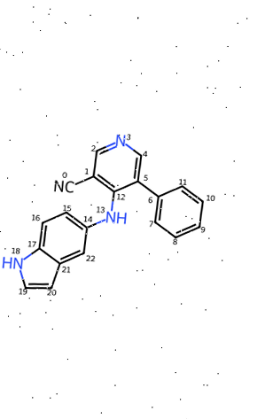 N#Cc1cncc(-c2ccccc2)c1Nc1ccc2[nH]ccc2c1